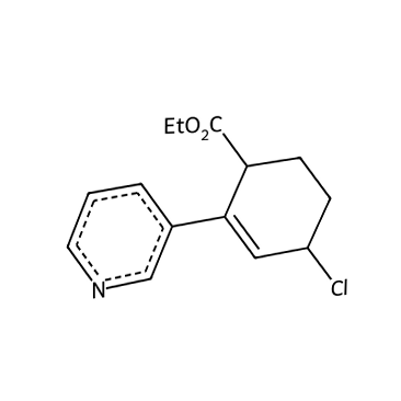 CCOC(=O)C1CCC(Cl)C=C1c1cccnc1